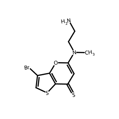 CN(CCN)c1cc(=S)c2scc(Br)c2o1